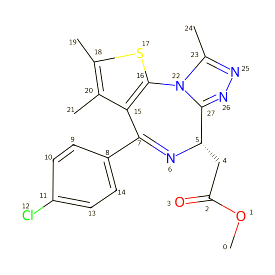 COC(=O)C[C@@H]1N=C(c2ccc(Cl)cc2)c2c(sc(C)c2C)-n2c(C)nnc21